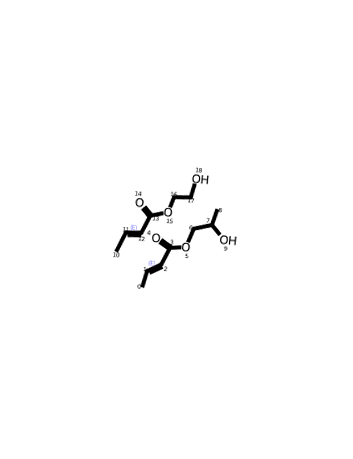 C/C=C/C(=O)OCC(C)O.C/C=C/C(=O)OCCO